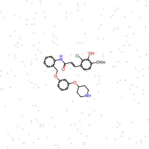 COc1ccc(/C=C/C(=O)Nc2ccccc2COc2cccc(OC3CCNCC3)c2)c(Cl)c1O